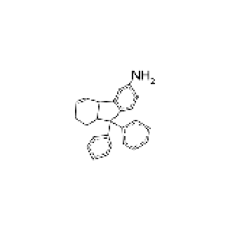 Nc1ccc2c(c1)C1C=CCCC1C2(c1ccccc1)c1ccccc1